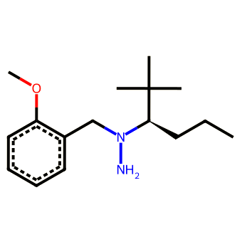 CCC[C@@H](N(N)Cc1ccccc1OC)C(C)(C)C